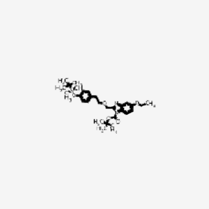 CCOc1ccc2c(c1)nc(COCCc1ccc(O[Si](C)(C)C(C)(C)C)cc1)n2C(=O)OC(C)(C)C